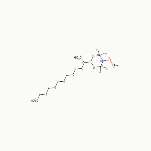 CCCCCCCCCCCCCCCCCCCCC(C(=O)O)C1CC(C)(C)N(OCCCCCC)C(C)(C)C1